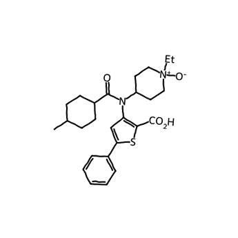 CC[N+]1([O-])CCC(N(C(=O)C2CCC(C)CC2)c2cc(-c3ccccc3)sc2C(=O)O)CC1